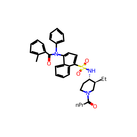 CCCC(=O)N1CC[C@H](NS(=O)(=O)c2ccc(N(C(=O)c3ccccc3C)c3ccccc3)c3ccccc23)[C@@H](CC)C1